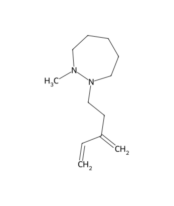 C=CC(=C)CCN1CCCCCN1C